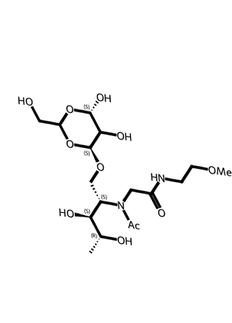 COCCNC(=O)CN(C(C)=O)[C@@H](CO[C@H]1OC(CO)O[C@H](O)C1O)[C@H](O)[C@@H](C)O